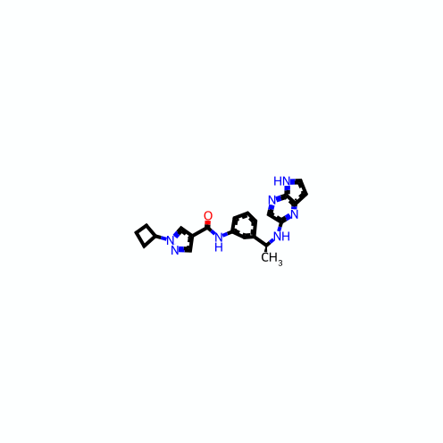 C[C@H](Nc1cnc2[nH]ccc2n1)c1cccc(NC(=O)c2cnn(C3CCC3)c2)c1